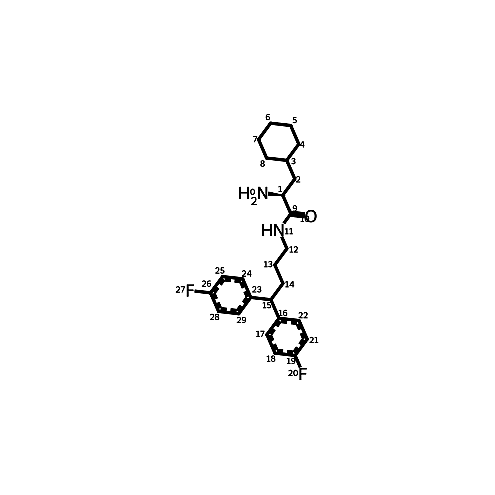 N[C@@H](CC1CCCCC1)C(=O)NCCCC(c1ccc(F)cc1)c1ccc(F)cc1